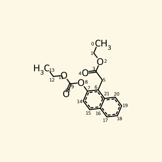 CCOC(=O)Cc1c(OC(=O)OCC)ccc2ccccc12